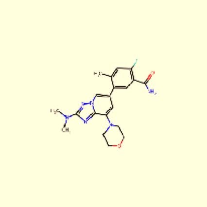 Cc1cc(F)c(C(N)=O)cc1-c1cc(N2CCOCC2)c2nc(N(C)C)nn2c1